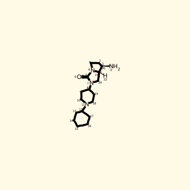 N[C@@H]1CCN2C(=O)N(C3CCN(C4CCCCC4)CC3)C[C@H]12